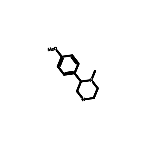 COc1ccc(C2C[N]CCN2C)cc1